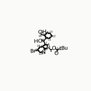 CC(C)(C)C(=O)OCn1cc(C(O)c2ccccc2CO)c2cc(Br)cnc21